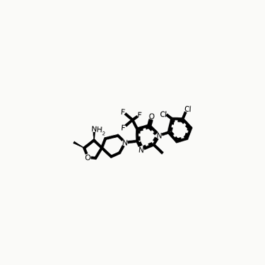 Cc1nc(N2CCC3(CC2)CO[C@@H](C)[C@H]3N)c(C(F)(F)F)c(=O)n1-c1cccc(Cl)c1Cl